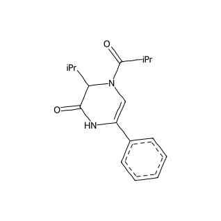 CC(C)C(=O)N1C=C(c2ccccc2)NC(=O)C1C(C)C